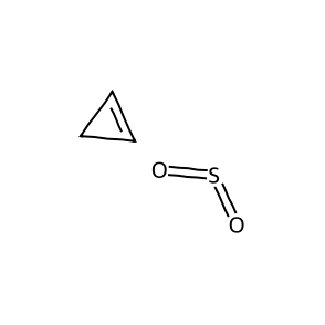 C1=CC1.O=S=O